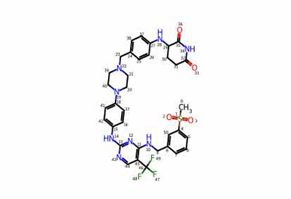 CS(=O)(=O)c1cccc(CNc2nc(Nc3ccc(N4CCN(Cc5ccc(NC6CCC(=O)NC6=O)cc5)CC4)cc3)ncc2C(F)(F)F)c1